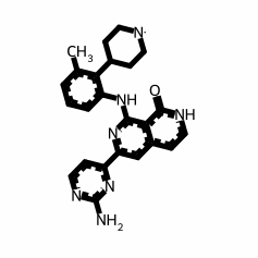 Cc1cccc(Nc2nc(-c3ccnc(N)n3)cc3cc[nH]c(=O)c23)c1C1CC[N]CC1